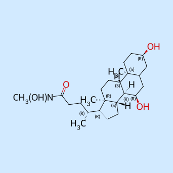 C[C@H](CCC(=O)N(C)O)[C@H]1CC[C@H]2[C@@H]3[C@H](O)CC4C[C@H](O)CC[C@]4(C)[C@H]3CC[C@]12C